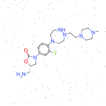 CN1CCN(CCN2CCN(c3ccc(N4C[C@H](CN)OC4=O)cc3F)CCN2)CC1